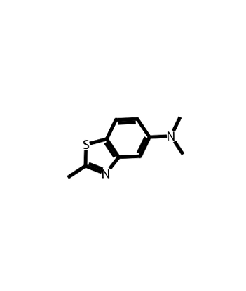 Cc1nc2cc(N(C)C)ccc2s1